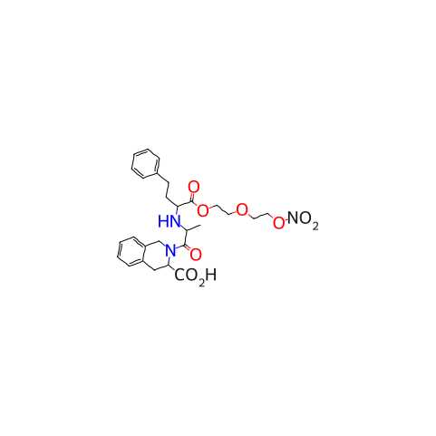 CC(NC(CCc1ccccc1)C(=O)OCCOCCO[N+](=O)[O-])C(=O)N1Cc2ccccc2CC1C(=O)O